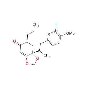 C=CC[C@H]1C[C@]2(C(C)Cc3ccc(OC)c(F)c3)OCOC2=CC1=O